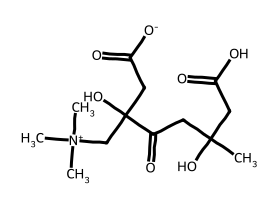 CC(O)(CC(=O)O)CC(=O)C(O)(CC(=O)[O-])C[N+](C)(C)C